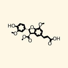 COC(=O)[C@@H]1c2cc(/C=C/C(=O)O)cc(OC)c2O[C@H]1c1ccc(O)c(OC)c1